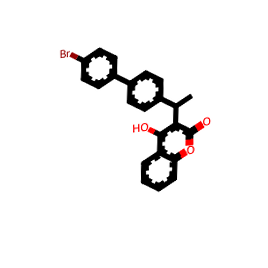 CC(c1ccc(-c2ccc(Br)cc2)cc1)c1c(O)c2ccccc2oc1=O